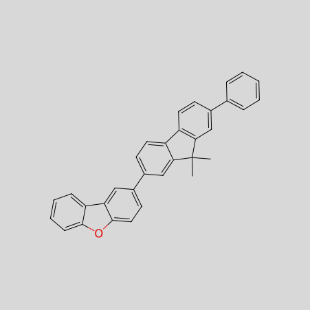 CC1(C)c2cc(-c3ccccc3)ccc2-c2ccc(-c3ccc4oc5ccccc5c4c3)cc21